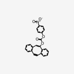 O=C(O/C1=C/c2ccccc2C#Cc2ccccc21)Oc1ccc([N+](=O)[O-])cc1